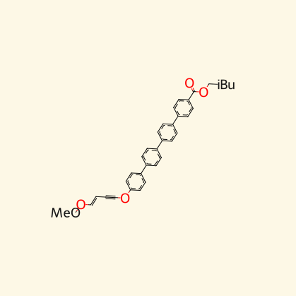 CCC(C)COC(=O)c1ccc(-c2ccc(-c3ccc(-c4ccc(OC#C/C=C/OOC)cc4)cc3)cc2)cc1